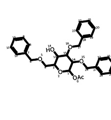 CC(=O)OC1OC(COCc2ccccc2)C(O)C(OCc2ccccc2)C1OCc1ccccc1